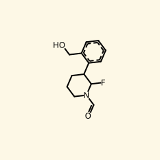 O=CN1CCCC(c2ccccc2CO)C1F